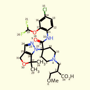 COC[C@@H](CN1CCC(C(=O)Nc2ccc(Cl)cc2OC(F)F)(n2ncc3c2C(C)(C)OC3)CC1)C(=O)O